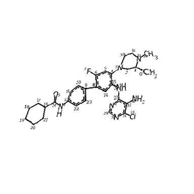 C[C@H]1CN(c2cc(F)c(-c3ccc(NC(=O)C4CCCCC4)cc3)cc2Nc2ncnc(Cl)c2N)CCN1C